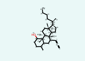 C=C=CC1CC2C(C)CCC(O)[C@]2(C)[C@H]2CC[C@]3(C)[C@@H]([C@H](C)CCCC(C)C)CC[C@H]3[C@H]12